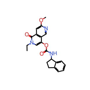 CCn1cc(OC(=O)NC2CCc3ccccc32)c2cnc(OC)cc2c1=O